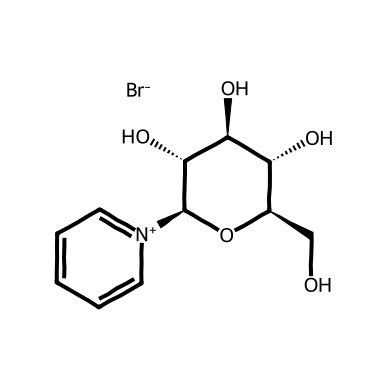 OC[C@H]1O[C@@H]([n+]2ccccc2)[C@H](O)[C@@H](O)[C@@H]1O.[Br-]